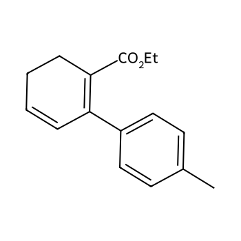 CCOC(=O)C1=C(c2ccc(C)cc2)C=CCC1